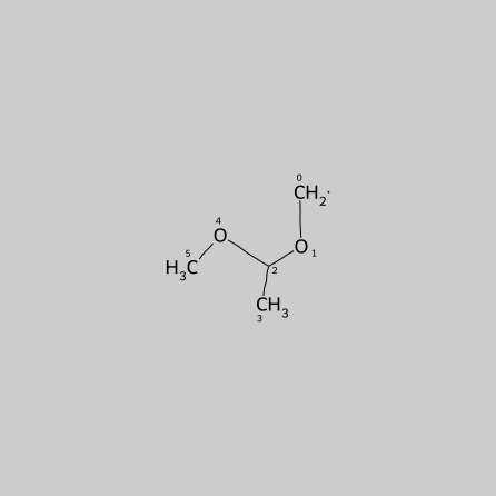 [CH2]OC(C)OC